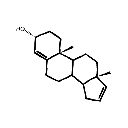 C[C@@]12C=CCC1C1CCC3=C[C@H](O)CC[C@]3(C)C1CC2